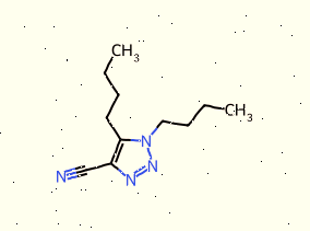 CCCCc1c(C#N)nnn1CCCC